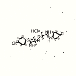 CC(C)(/N=N/C(C)(C)C(=N)Nc1ccc(Cl)cc1)C(=N)Nc1ccc(Cl)cc1.Cl